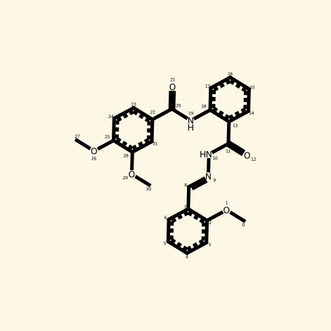 COc1ccccc1C=NNC(=O)c1ccccc1NC(=O)c1ccc(OC)c(OC)c1